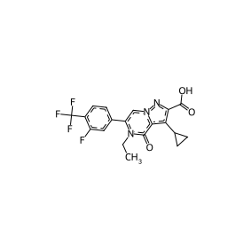 CCn1c(-c2ccc(C(F)(F)F)c(F)c2)cn2nc(C(=O)O)c(C3CC3)c2c1=O